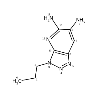 CCCn1nnc2cc(N)c(N)nc21